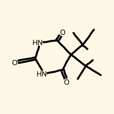 CC(C)(C)C1(C(C)(C)C)C(=O)NC(=O)NC1=O